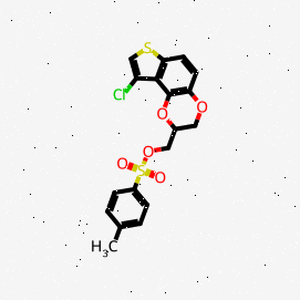 Cc1ccc(S(=O)(=O)OCC2COc3ccc4scc(Cl)c4c3O2)cc1